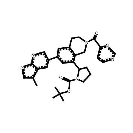 Cc1c[nH]c2ncc(-c3cc4c(c(C5CCCN5C(=O)OC(C)(C)C)c3)CN(C(=O)c3ccncn3)CC4)cc12